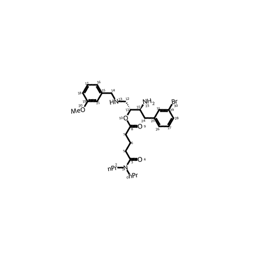 CCCN(CCC)C(=O)CCCC(=O)O[C@H](CNCc1cccc(OC)c1)[C@@H](N)Cc1cccc(Br)c1